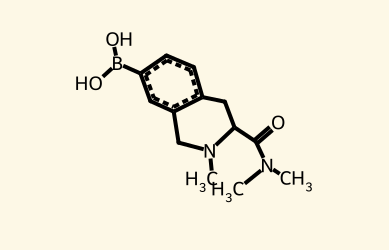 CN(C)C(=O)C1Cc2ccc(B(O)O)cc2CN1C